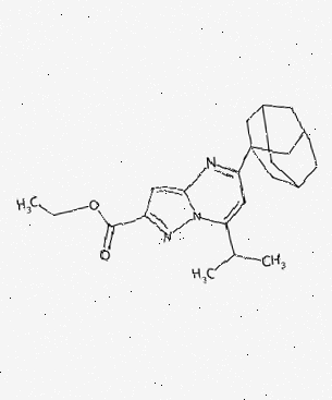 CCOC(=O)c1cc2nc(C34CC5CC(CC(C5)C3)C4)cc(C(C)C)n2n1